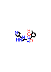 Cc1cccc(C(=O)NCc2c[nH]c(-c3ccncc3)n2)c1O